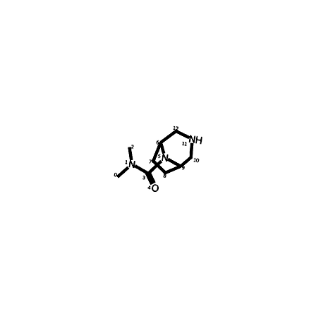 CN(C)C(=O)N1C2CCC1CNC2